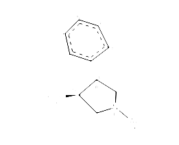 CCOC(=O)[C@@H]1CN(C(C)=O)C[C@H]1c1ccccc1